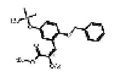 CC(=O)O/C(=C/c1cc(O[Si](C)(C)C(C)(C)C)ccc1OCc1ccccc1)C(=O)OC(C)(C)C